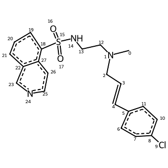 CN(CC=Cc1ccc(Cl)cc1)CCNS(=O)(=O)c1cccc2cnccc12